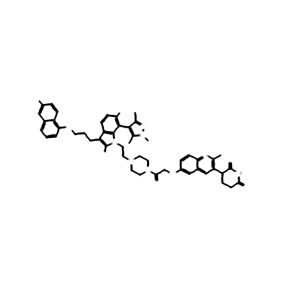 Cc1nc2ccc(OCC(=O)N3CCN(CCn4c(C(=O)O)c(CCCOc5cccc6cc(F)ccc56)c5ccc(Cl)c(-c6c(C)nn(C)c6C)c54)CC3)cc2cc1C1CCC(=O)NC1=O